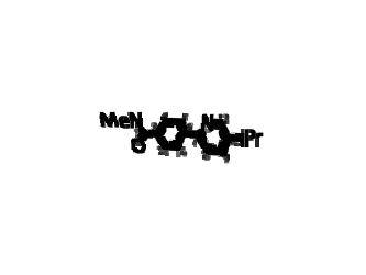 CNC(=O)c1ccc(-c2ccc(C(C)C)cn2)cc1